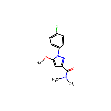 COc1cc(C(=O)N(C)C)nn1-c1ccc(Cl)cc1